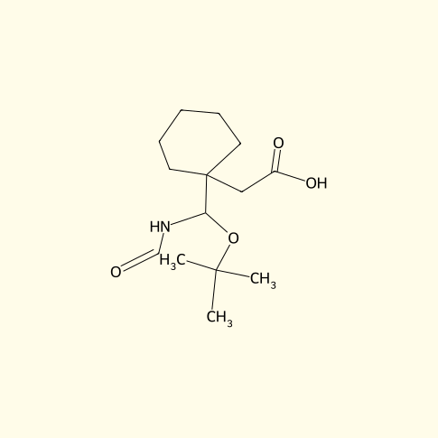 CC(C)(C)OC(NC=O)C1(CC(=O)O)CCCCC1